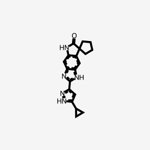 O=C1Nc2cc3nc(-c4cc(C5CC5)[nH]n4)[nH]c3cc2C12CCCC2